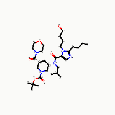 CCCCc1ncc(C(=O)N(CC(C)C)[C@H]2C[C@@H](C(=O)N3CCOCC3)CN(C(=O)OC(C)(C)C)C2)n1CCCCO